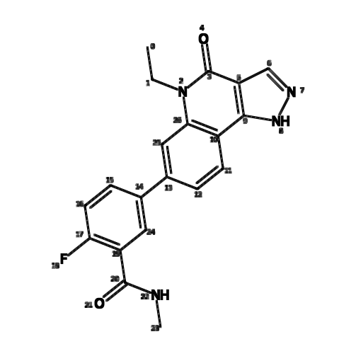 CCn1c(=O)c2cn[nH]c2c2ccc(-c3ccc(F)c(C(=O)NC)c3)cc21